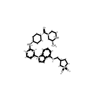 C[C@H]1CN(C(=O)[C@H]2CC[C@H](Nc3nccc(-n4ccc5c(OCC6CCS(=O)(=O)C6)cccc54)n3)CC2)CCN1